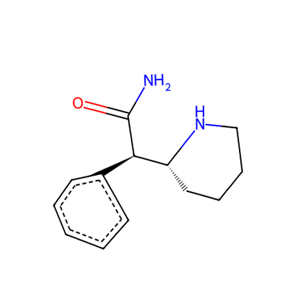 NC(=O)[C@H](c1ccccc1)[C@H]1CCCCN1